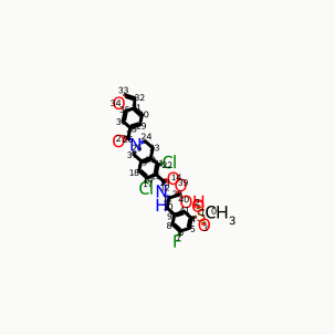 CS(=O)(=O)c1cc(F)cc(CC(NC(=O)c2c(Cl)cc3c(c2Cl)CCN(C(=O)c2ccc4ccoc4c2)C3)C(=O)O)c1